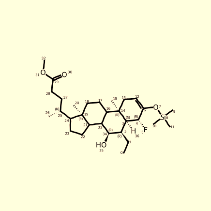 CC[C@@H]1[C@@H]2[C@@H](F)C(O[Si](C)(C)C)=CC[C@]2(C)C2CC[C@@]3(C)C(CCC3[C@H](C)CCC(=O)OC)C2[C@@H]1O